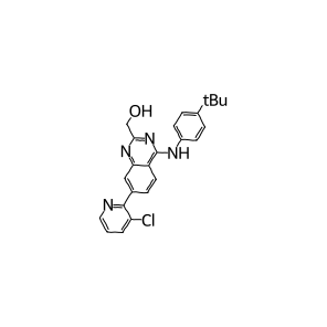 CC(C)(C)c1ccc(Nc2nc(CO)nc3cc(-c4ncccc4Cl)ccc23)cc1